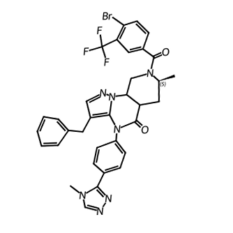 C[C@H]1CC2C(=O)N(c3ccc(-c4nncn4C)cc3)c3c(Cc4ccccc4)cnn3C2CN1C(=O)c1ccc(Br)c(C(F)(F)F)c1